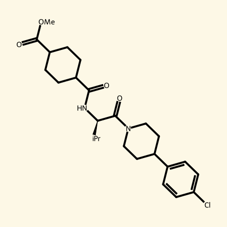 COC(=O)C1CCC(C(=O)N[C@@H](C(=O)N2CCC(c3ccc(Cl)cc3)CC2)C(C)C)CC1